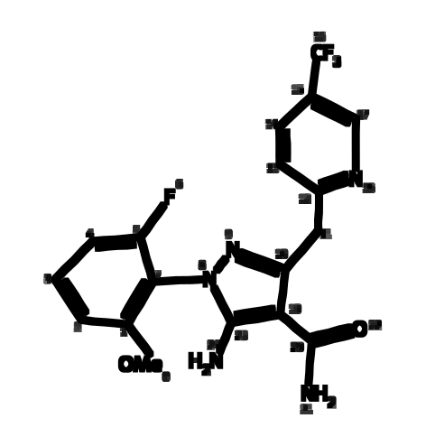 COc1cccc(F)c1-n1nc(Cc2ccc(C(F)(F)F)cn2)c(C(N)=O)c1N